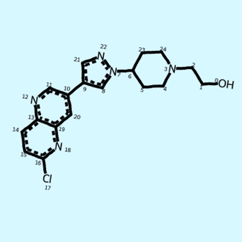 OCCN1CCC(n2cc(-c3cnc4ccc(Cl)nc4c3)cn2)CC1